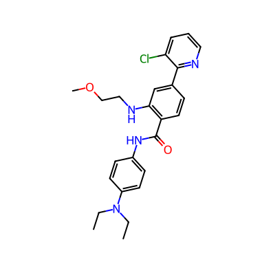 CCN(CC)c1ccc(NC(=O)c2ccc(-c3ncccc3Cl)cc2NCCOC)cc1